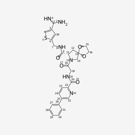 N=C(N)c1csc(CNC(=O)[C@@H]2CC3(CN2C(=O)CNC(=O)c2ccc(-c4ccccc4)cn2)OCCO3)c1